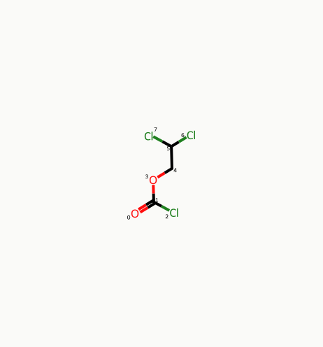 O=C(Cl)OCC(Cl)Cl